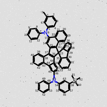 Cc1cccc(N(c2ccccc2)c2cc3c(c4ccccc24)C2(c4ccccc4-c4ccccc42)c2c-3c3ccccc3c3cc(N(c4ccccc4)c4cccc([Si](C)(C)C)c4)ccc23)c1